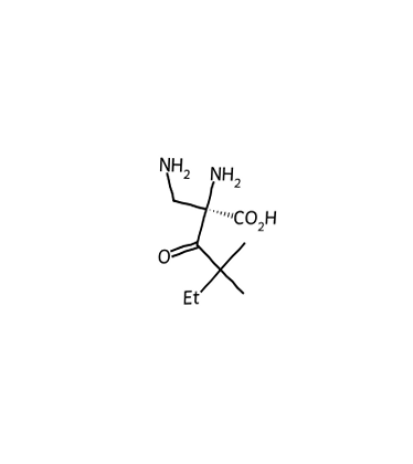 CCC(C)(C)C(=O)[C@](N)(CN)C(=O)O